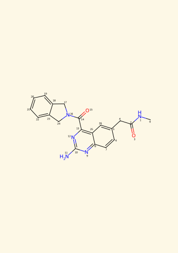 CNC(=O)Cc1ccc2nc(N)nc(C(=O)N3Cc4ccccc4C3)c2c1